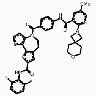 COc1cnc(N2CC3(CCOCC3)C2)c(C(=O)Nc2ccc(C(=O)N3CCc4cc(C(=O)Nc5c(F)cccc5F)sc4-c4sccc43)cc2)c1